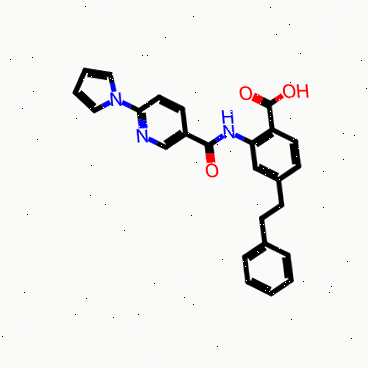 O=C(Nc1cc(CCc2ccccc2)ccc1C(=O)O)c1ccc(-n2cccc2)nc1